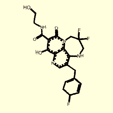 O=C(NCCO)c1c(O)c2ncc(CC3=CCC(F)C=C3)c3c2n(c1=O)CC(F)(F)CN3